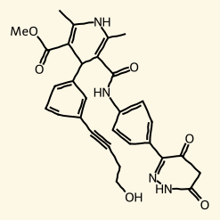 COC(=O)C1=C(C)NC(C)=C(C(=O)Nc2ccc(C3=NNC(=O)CC3=O)cc2)C1c1cccc(C#CCCO)c1